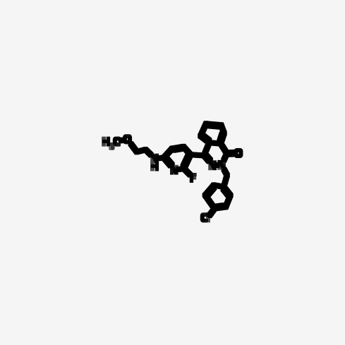 COCCNc1ccc(-c2nn(Cc3ccc(Cl)cc3)c(=O)c3ccccc23)c(F)n1